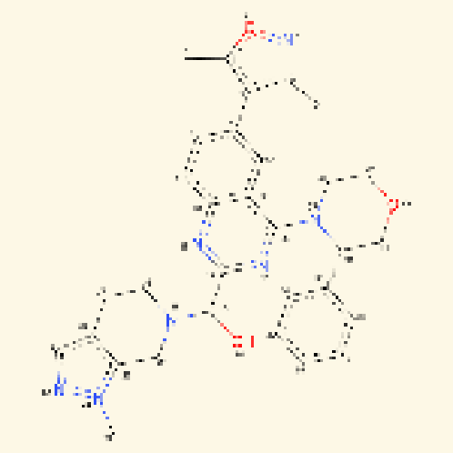 Cc1noc(C)c1-c1ccc2nc(C(O)N3CCc4cnn(C)c4C3)nc(N3CCOC[C@@H]3c3ccccc3)c2c1